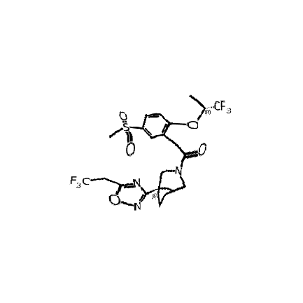 C[C@@H](Oc1ccc(S(C)(=O)=O)cc1C(=O)N1CC2C[C@]2(c2noc(CC(F)(F)F)n2)C1)C(F)(F)F